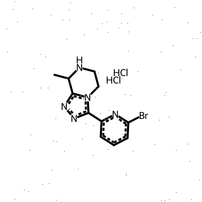 CC1NCCn2c(-c3cccc(Br)n3)nnc21.Cl.Cl